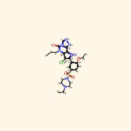 CCCn1c(=O)n2cnnc2c2[nH]c(-c3cc(S(=O)(=O)N4CCN(CC)CC4)ccc3OCC)c(Cl)c21